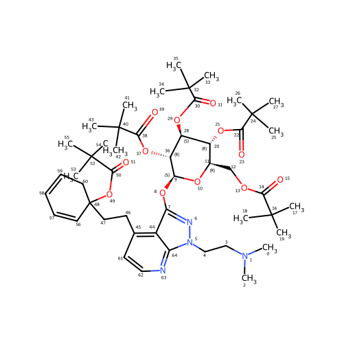 CN(C)CCn1nc(O[C@@H]2O[C@H](COC(=O)C(C)(C)C)[C@@H](OC(=O)C(C)(C)C)[C@H](OC(=O)C(C)(C)C)[C@H]2OC(=O)C(C)(C)C)c2c(CCC3(OC(=O)C(C)(C)C)C=CC=CC3)ccnc21